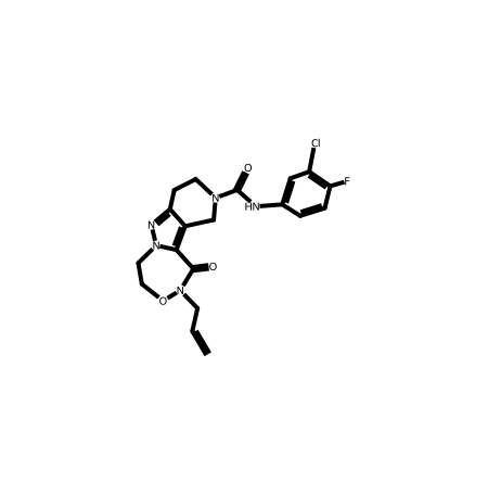 C=CCN1OCCn2nc3c(c2C1=O)CN(C(=O)Nc1ccc(F)c(Cl)c1)CC3